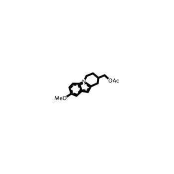 COc1ccc2c(c1)cc1n2CCC(COC(C)=O)C1